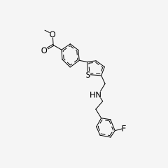 COC(=O)c1ccc(-c2ccc(CNCCc3cccc(F)c3)s2)cc1